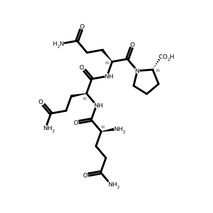 NC(=O)CC[C@H](NC(=O)[C@@H](N)CCC(N)=O)C(=O)N[C@@H](CCC(N)=O)C(=O)N1CCC[C@H]1C(=O)O